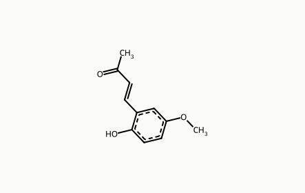 COc1ccc(O)c(C=CC(C)=O)c1